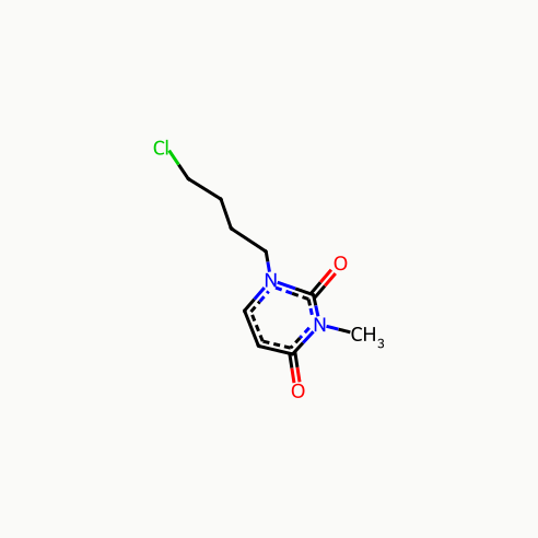 Cn1c(=O)ccn(CCCCCl)c1=O